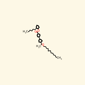 CCCCCCCCCCCCOC(C)c1ccc(-c2ccc(C(=O)Oc3ccccc3CCCCCC)cc2)cc1